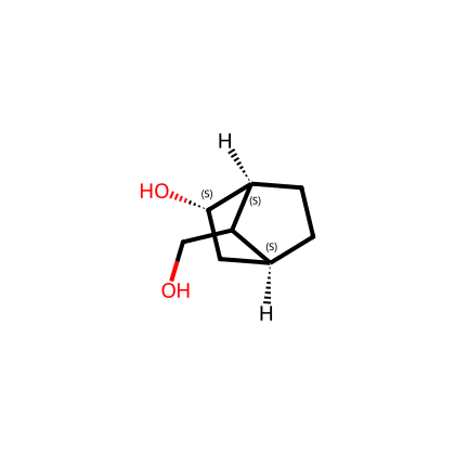 OCC1[C@H]2CC[C@@H]1[C@@H](O)C2